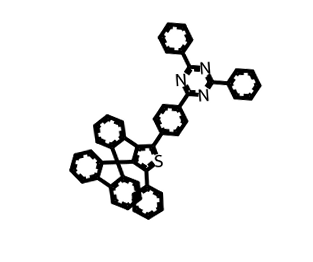 c1ccc(-c2nc(-c3ccccc3)nc(-c3ccc(-c4sc(-c5ccccc5)c5c4-c4ccccc4C54c5ccccc5-c5ccccc54)cc3)n2)cc1